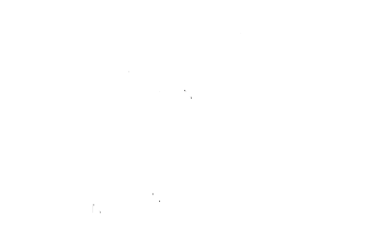 CCOC1CCCN(C(=O)c2ccc3nccnc3c2)C1